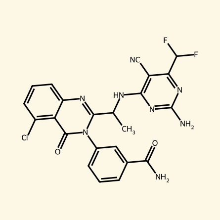 CC(Nc1nc(N)nc(C(F)F)c1C#N)c1nc2cccc(Cl)c2c(=O)n1-c1cccc(C(N)=O)c1